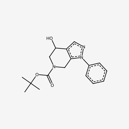 CC(C)(C)OC(=O)N1Cc2c(cnn2-c2ccccc2)C(O)C1